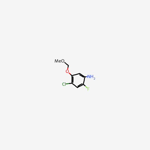 COCOc1cc(N)c(F)cc1Cl